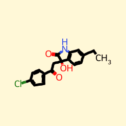 CCc1ccc2c(c1)NC(=O)C2(O)CC(=O)c1ccc(Cl)cc1